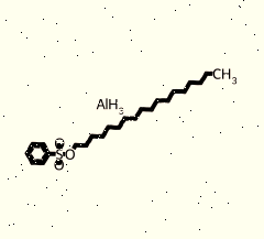 CCCCCCCCCCCCCCCCCCOS(=O)(=O)c1ccccc1.[AlH3]